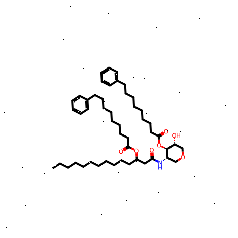 CCCCCCCCCCCC(CC(=O)N[C@H]1COC[C@@H](O)[C@@H]1OC(=O)CCCCCCCCc1ccccc1)OC(=O)CCCCCCCCc1ccccc1